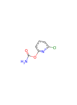 NC(=O)Oc1cccc(Cl)n1